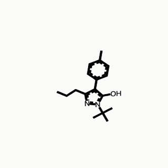 CCCc1nn(C(C)(C)C)c(O)c1-c1ccc(C)cc1